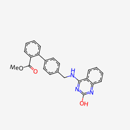 COC(=O)c1ccccc1-c1ccc(CNc2nc(O)nc3ccccc23)cc1